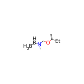 BBN(C)COC(=C)CC